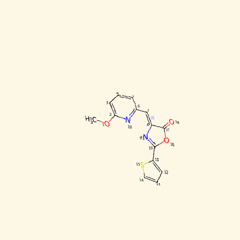 COc1cccc(/C=C2\N=C(c3cccs3)OC2=O)n1